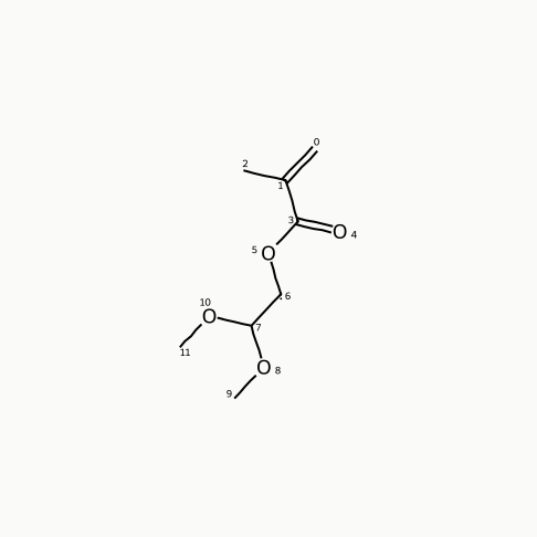 C=C(C)C(=O)O[CH]C(OC)OC